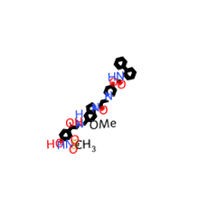 COc1cc2c(cc1CNC[C@H](O)c1ccc(O)c(NS(C)(=O)=O)c1)CCN2C(=O)CCN1CCC(OC(=O)Nc2ccccc2-c2ccccc2)CC1